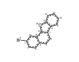 Brc1ccc2ccc3c4ccccc4oc3c2c1